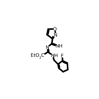 CCOC(=O)/C(=N/C(=N)c1ccon1)NCC1=CCCC=C1F